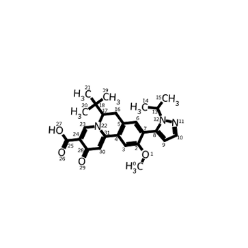 COc1cc2c(cc1-c1ccnn1C(C)C)CC(C(C)(C)C)n1cc(C(=O)O)c(=O)cc1-2